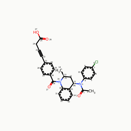 CC(=O)N(c1ccc(Cl)cc1)[C@@H]1C[C@H](C)N(C(=O)c2ccc(C#CCC(=O)O)cc2)c2ccccc21